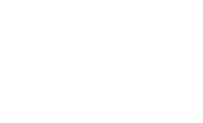 CCP(=O)(O)O.Cc1ccccc1.[AlH3]